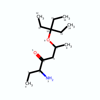 CCC(N)C(=O)CC(C)OC(CC)(CC)CC